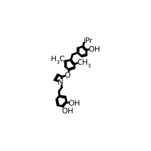 Cc1cc(OC2C=CN2CCc2ccc(O)c(O)c2)cc(C)c1Cc1ccc(O)c(C(C)C)c1